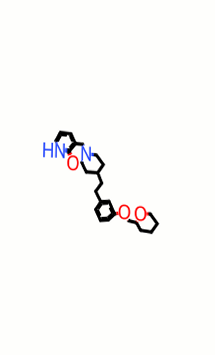 O=c1[nH]cccc1CN1CCC(CCc2cccc(OCC3CCCCO3)c2)CC1